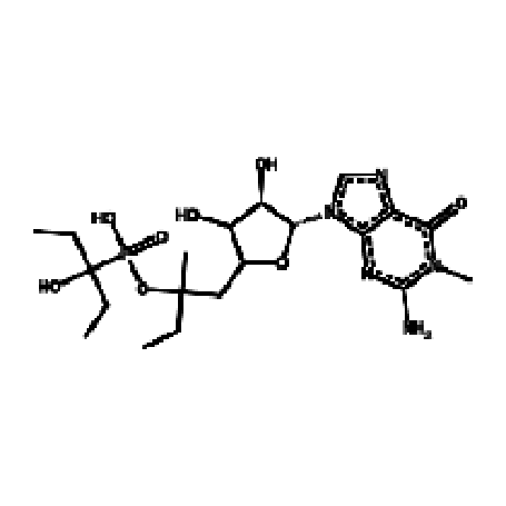 CCC(C)(CC1O[C@@H](n2cnc3c(=O)n(C)c(N)nc32)[C@H](O)C1O)OP(=O)(O)C(O)(CC)CC